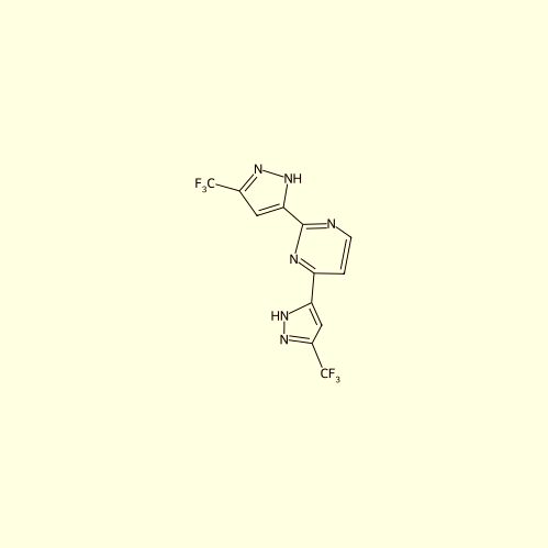 FC(F)(F)c1cc(-c2ccnc(-c3cc(C(F)(F)F)n[nH]3)n2)[nH]n1